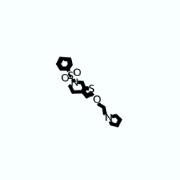 O=S(=O)(c1ccccc1)N1CCc2cc(OCCCN3CCCC3)sc2C1